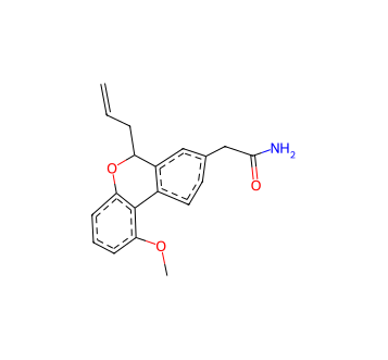 C=CCC1Oc2cccc(OC)c2-c2ccc(CC(N)=O)cc21